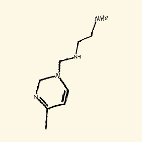 CNCCNCN1C=CC(C)=NC1